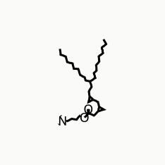 CCCCCCCCCCC(CCCCCCCCCC)CCC1CC1CC1CC1CC(=O)OCCCCN(C)C